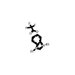 CCn1c[n+](CC)c2ccccc21.O=C([O-])C(F)(F)F